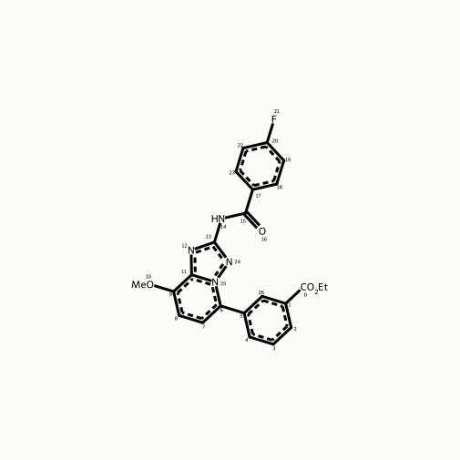 CCOC(=O)c1cccc(-c2ccc(OC)c3nc(NC(=O)c4ccc(F)cc4)nn23)c1